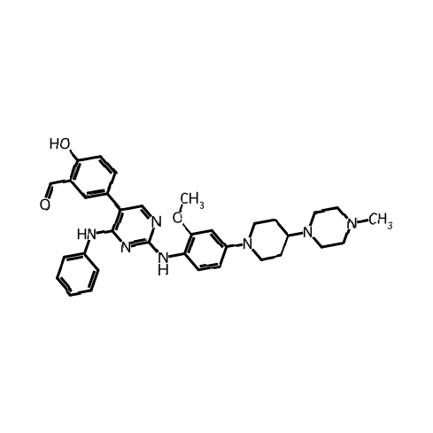 COc1cc(N2CCC(N3CCN(C)CC3)CC2)ccc1Nc1ncc(-c2ccc(O)c(C=O)c2)c(Nc2ccccc2)n1